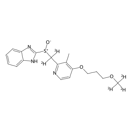 [2H]C([2H])([2H])OCCCOc1ccnc(C([2H])([2H])[S+]([O-])c2nc3ccccc3[nH]2)c1C